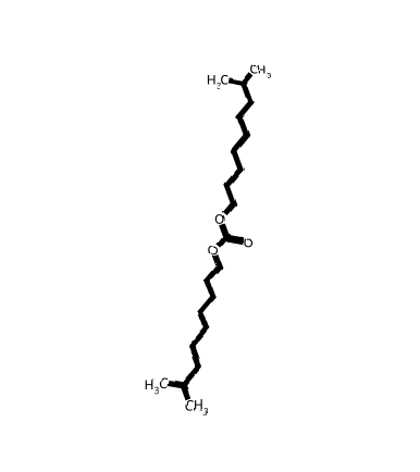 CC(C)CCCCCCCOC(=O)OCCCCCCCC(C)C